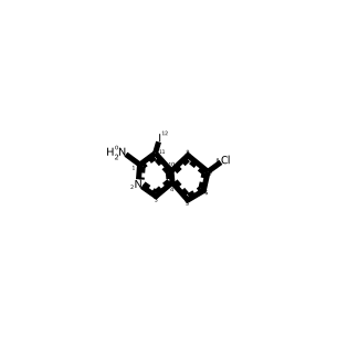 Nc1ncc2ccc(Cl)cc2c1I